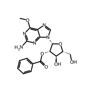 COc1nc(N)nc2c1ncn2[C@@H]1O[C@H](CO)[C@@H](O)[C@@H]1OC(=O)c1ccccc1